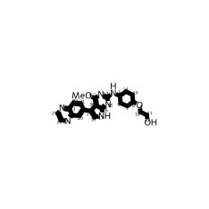 COc1nc(NC2CCC(OCCO)CC2)nc2[nH]cc(-c3ccc4nccnc4c3)c12